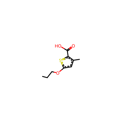 CCCOc1cc(C)c(C(=O)O)s1